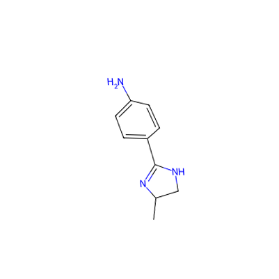 CC1CNC(c2ccc(N)cc2)=N1